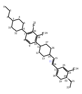 CCCC1CCC(c2ccc(C3CCC(/C=C/C4=CC[C@H](CC)C(F)=C4)CC3)c(F)c2F)CC1